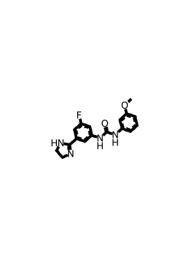 COc1cccc(NC(=O)Nc2cc(F)cc(C3=NCCN3)c2)c1